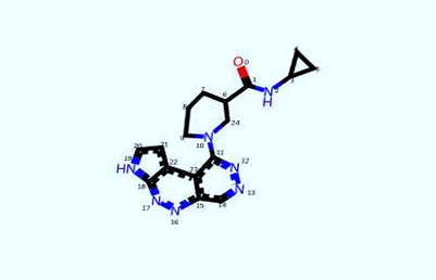 O=C(NC1CC1)C1CCCN(c2nncc3nnc4[nH]ccc4c23)C1